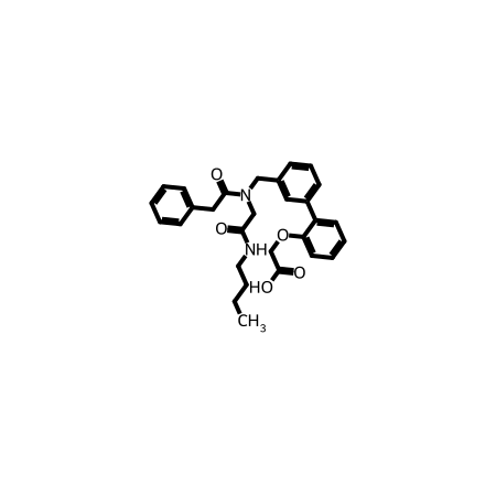 CCCCNC(=O)CN(Cc1cccc(-c2ccccc2OCC(=O)O)c1)C(=O)Cc1ccccc1